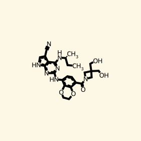 CC[C@@H](C)Nc1nc(Nc2ccc(C(=O)N3CC(CO)(CO)C3)c3c2OCCO3)nc2[nH]cc(C#N)c12